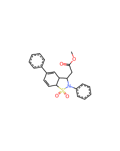 COC(=O)CC1C2C=C(c3ccccc3)C=CC2S(=O)(=O)N1c1ccccc1